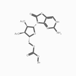 CC(=O)O[C@@H]1[C@H](OC(C)=O)[C@@H](COC(=O)OC(C)C)O[C@H]1n1c(=O)sc2c1=NC(N)NC=2